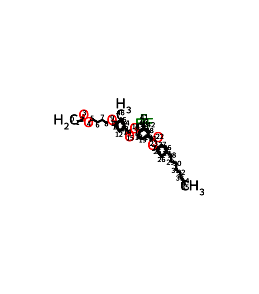 C=CC(=O)OCCCCOc1ccc(C(=O)Oc2ccc(C(=O)Oc3ccc(CCCCCCCC)cc3)cc2C(F)(F)F)cc1C